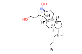 CC(C)CCC[C@@H](C)C1CC[C@H]2[C@@H]3CC/C(=N\O)[C@](C)(CCCO)[C@H]3CC[C@]12C